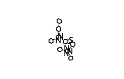 c1ccc(-c2ccc(-c3cc(-c4ccccc4)nc(-c4ccc5c(c4)sc4cccc(-c6nc(-c7ccccc7)nc(-c7ccccc7)n6)c45)n3)cc2)cc1